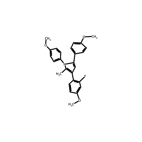 COc1ccc(-c2cc(-c3ccc(OC)cc3F)c(C)n2-c2ccc(OC)cc2)cc1